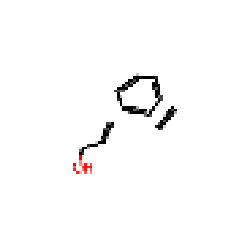 C=C.C=CCO.c1ccccc1